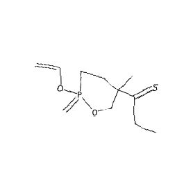 C=COP1(=C)CCC(C)(C(=S)CC)CO1